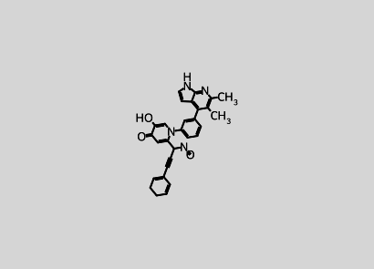 Cc1nc2[nH]ccc2c(-c2cccc(-n3cc(O)c(=O)cc3C(C#CC3=CCCC=C3)N=O)c2)c1C